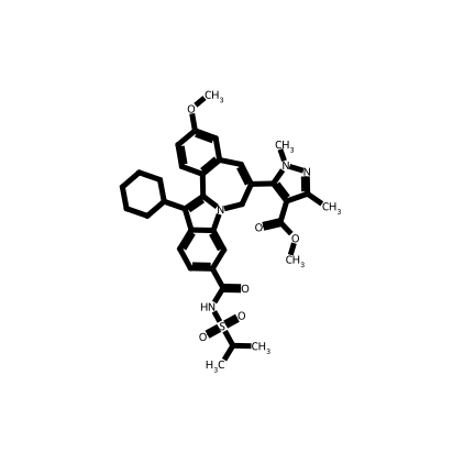 COC(=O)c1c(C)nn(C)c1C1=Cc2cc(OC)ccc2-c2c(C3CCCCC3)c3ccc(C(=O)NS(=O)(=O)C(C)C)cc3n2C1